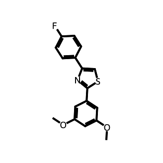 COc1cc(OC)cc(-c2nc(-c3ccc(F)cc3)cs2)c1